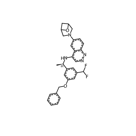 C[C@@H](Nc1cnnc2ccc(N3CC4CC(C3)O4)cc12)c1cc(OCc2ccccc2)cc(C(F)F)c1